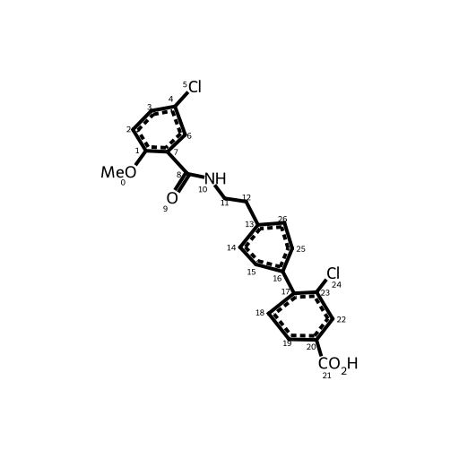 COc1ccc(Cl)cc1C(=O)NCCc1ccc(-c2ccc(C(=O)O)cc2Cl)cc1